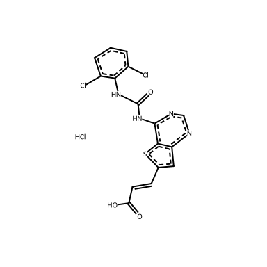 Cl.O=C(O)C=Cc1cc2ncnc(NC(=O)Nc3c(Cl)cccc3Cl)c2s1